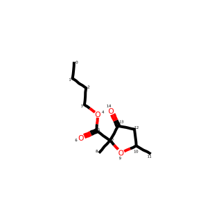 CCCCOC(=O)C1(C)OC(C)CC1=O